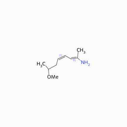 COC(C)C/C=C\C=C(/C)N